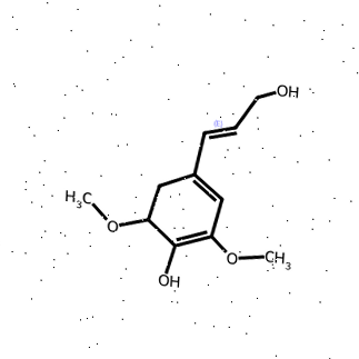 COC1=C(O)C(OC)CC(/C=C/CO)=C1